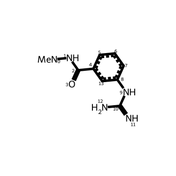 CNNC(=O)c1cccc(NC(=N)N)c1